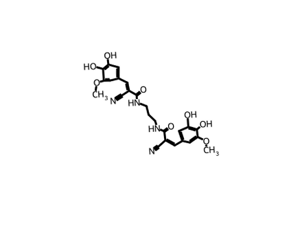 COc1cc(C=C(C#N)C(=O)NCCCNC(=O)C(C#N)=Cc2cc(O)c(O)c(OC)c2)cc(O)c1O